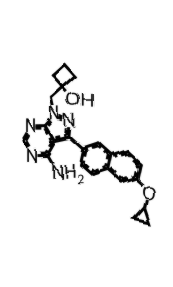 Nc1ncnc2c1c(-c1ccc3cc(OC4CC4)ccc3c1)nn2CC1(O)CCC1